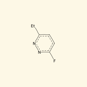 CCc1ccc(F)nn1